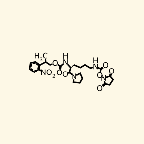 CC(COC(=O)N[C@@H](CCCCNC(=O)ON1C(=O)CCC1=O)C(=O)N1CCCC1)c1ccccc1[N+](=O)[O-]